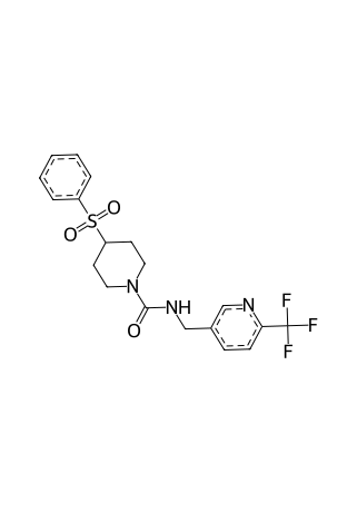 O=C(NCc1ccc(C(F)(F)F)nc1)N1CCC(S(=O)(=O)c2ccccc2)CC1